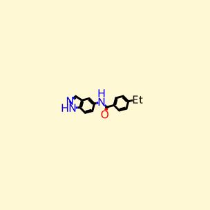 CCc1ccc(C(=O)Nc2ccc3[nH]ncc3c2)cc1